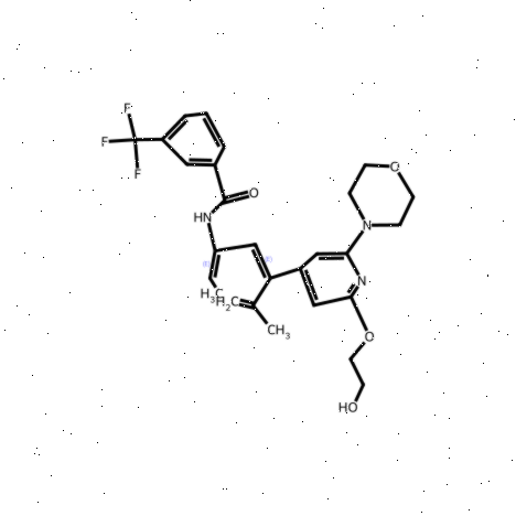 C=C(C)/C(=C\C(=C/C)NC(=O)c1cccc(C(F)(F)F)c1)c1cc(OCCO)nc(N2CCOCC2)c1